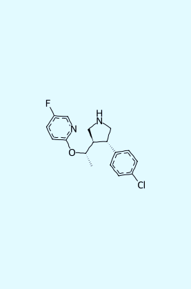 C[C@H](Oc1ccc(F)cn1)[C@H]1CNC[C@@H]1c1ccc(Cl)cc1